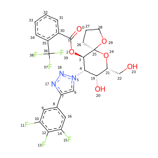 O=C(O[C@@H]1[C@@H](n2cc(-c3cc(F)c(F)c(F)c3)nn2)[C@@H](O)[C@@H](CO)O[C@@]12CCCO2)c1ccccc1C(F)(F)F